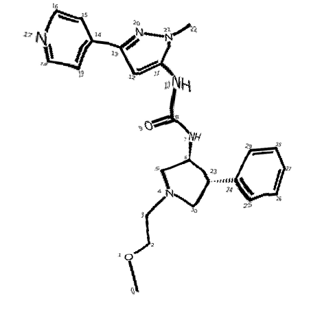 COCCN1C[C@@H](NC(=O)Nc2cc(-c3ccncc3)nn2C)[C@H](c2ccccc2)C1